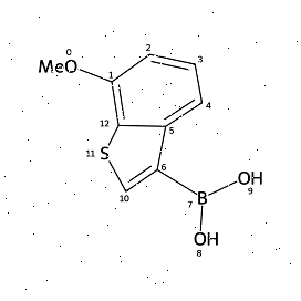 COc1cccc2c(B(O)O)csc12